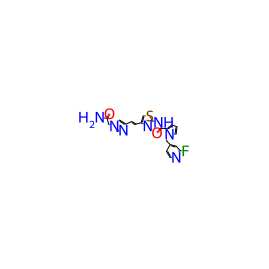 NC(=O)Cn1cnc(/C=C/c2csc(NC(=O)c3cccn3Cc3ccnc(F)c3)n2)c1